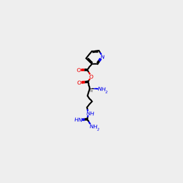 N=C(N)NCCC[C@H](N)C(=O)OC(=O)c1cccnc1